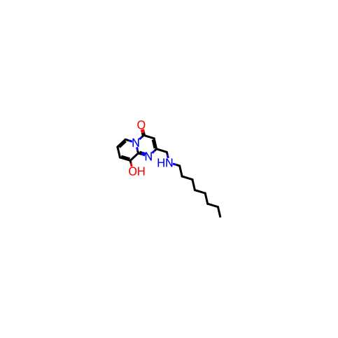 CCCCCCCCNCc1cc(=O)n2cccc(O)c2n1